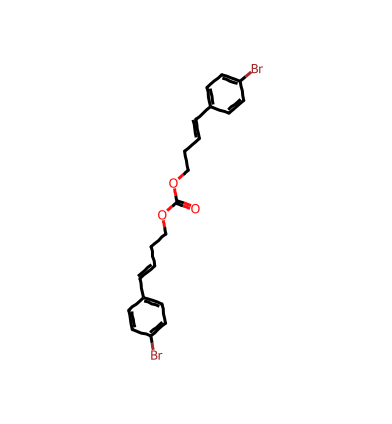 O=C(OCCC=Cc1ccc(Br)cc1)OCCC=Cc1ccc(Br)cc1